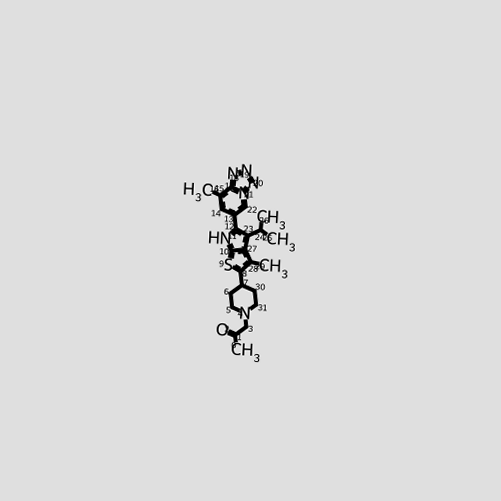 CC(=O)CN1CCC(c2sc3[nH]c(-c4cc(C)c5nnnn5c4)c(C(C)C)c3c2C)CC1